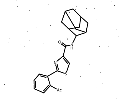 CC(=O)c1ccccc1-c1nc(C(=O)NC2C3CC4CC(C3)CC2C4)cs1